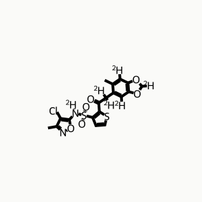 [2H]c1c(C)c(C([2H])([2H])C(=O)c2sccc2S(=O)(=O)N([2H])c2onc(C)c2Cl)c([2H])c2c1OC([2H])O2